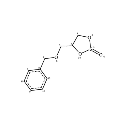 O=S1OC[C@@H](COCc2ccccc2)O1